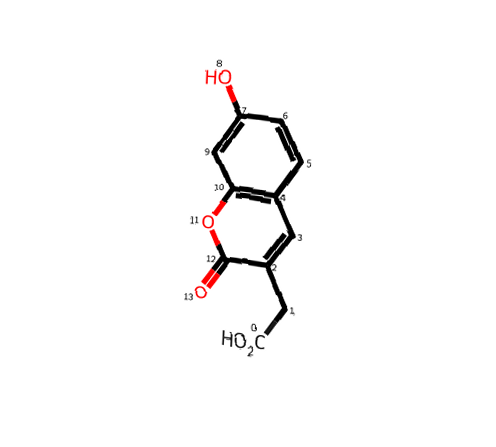 O=C(O)Cc1cc2ccc(O)cc2oc1=O